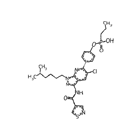 CCCP(=O)(O)Oc1ccc(-c2nc3c(cc2Cl)c(NC(=O)c2cnsc2)nn3CCCCC(C)C)cc1